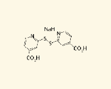 O=C(O)c1ccnc(SSc2cc(C(=O)O)ccn2)c1.[NaH]